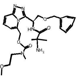 COCCN(C)C(=O)OCc1cccc2nnc([C@@H](COCc3ccccc3)NC(=O)C(C)(C)N)n12